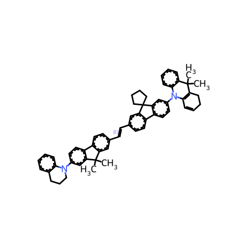 CC1(C)C2=C(C=CCC2)N(c2ccc3c(c2)C2(CCCC2)c2cc(/C=C/c4ccc5c(c4)C(C)(C)c4cc(N6CCCc7ccccc76)ccc4-5)ccc2-3)c2ccccc21